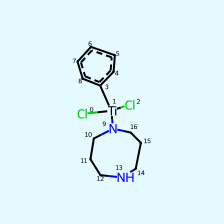 [Cl][Ti]([Cl])([c]1ccccc1)[N]1CCCNCCC1